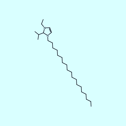 CCCCCCCCCCCCCCCCCCCN1C=CN(CC)C1C(C)C